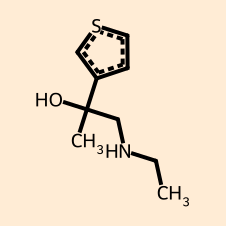 CCNCC(C)(O)c1ccsc1